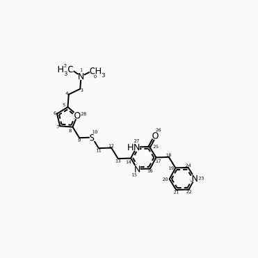 CN(C)CCc1ccc(CSCCCc2ncc(Cc3cccnc3)c(=O)[nH]2)o1